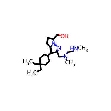 CCC1(CC)CCC(c2c(CN(C)CCNC)nn3c2CCC3CO)CC1